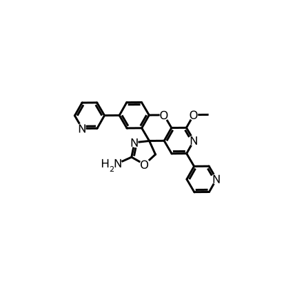 COc1nc(-c2cccnc2)cc2c1Oc1ccc(-c3cccnc3)cc1C21COC(N)=N1